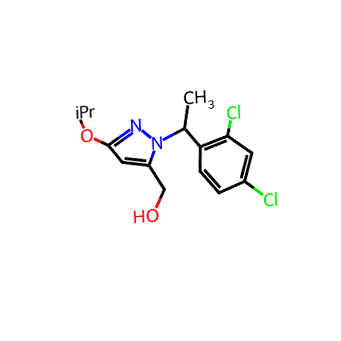 CC(C)Oc1cc(CO)n(C(C)c2ccc(Cl)cc2Cl)n1